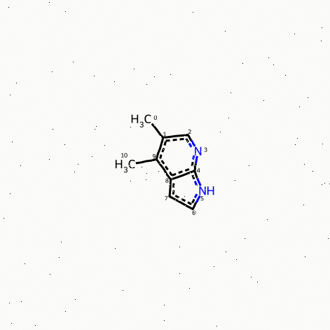 Cc1cnc2[nH]ccc2c1C